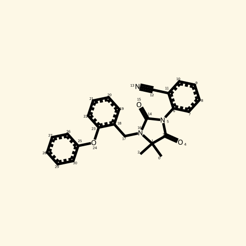 CC1(C)C(=O)N(c2ccccc2C#N)C(=O)N1Cc1ccccc1Oc1ccccc1